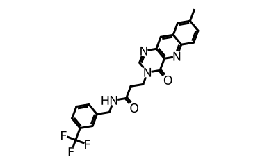 Cc1ccc2nc3c(=O)n(CCC(=O)NCc4cccc(C(F)(F)F)c4)cnc3cc2c1